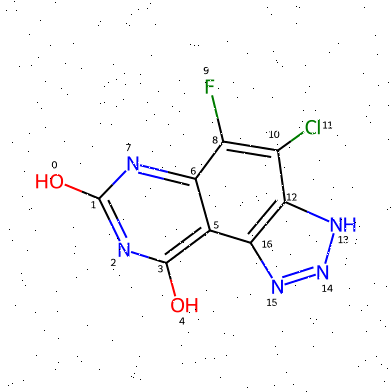 Oc1nc(O)c2c(n1)c(F)c(Cl)c1[nH]nnc12